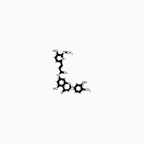 COc1nc(/C=C/C(=O)Oc2cc(O)c3c(c2)O[C@H](c2ccc(C)c(O)c2)CC3=O)ccc1O